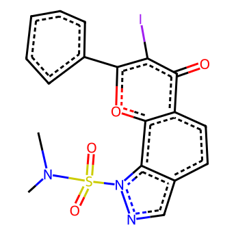 CN(C)S(=O)(=O)n1ncc2ccc3c(=O)c(I)c(-c4ccccc4)oc3c21